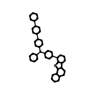 c1ccc(-c2ccc(-c3ccc(N(c4ccccc4)c4ccc(-c5cccc6c5oc5c7ccccc7ccc65)cc4)cc3)cc2)cc1